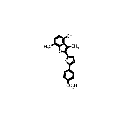 Cc1ccc(C)c2c(C)c(-c3ccc(-c4ccc(C(=O)O)cc4)[nH]3)oc12